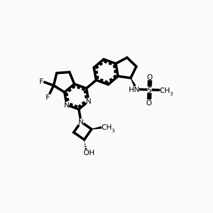 C[C@H]1[C@H](O)CN1c1nc(-c2ccc3c(c2)[C@H](NS(C)(=O)=O)CC3)c2c(n1)C(F)(F)CC2